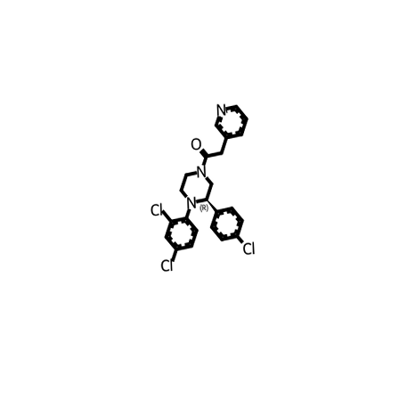 O=C(Cc1cccnc1)N1CCN(c2ccc(Cl)cc2Cl)[C@H](c2ccc(Cl)cc2)C1